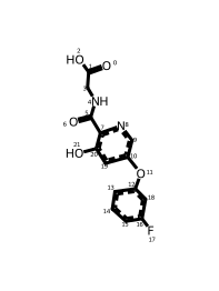 O=C(O)CNC(=O)c1ncc(Oc2cccc(F)c2)cc1O